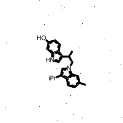 Cc1ccc2c(C(C)C)cn(CC(C)c3c[nH]c4cc(O)ccc34)c2c1